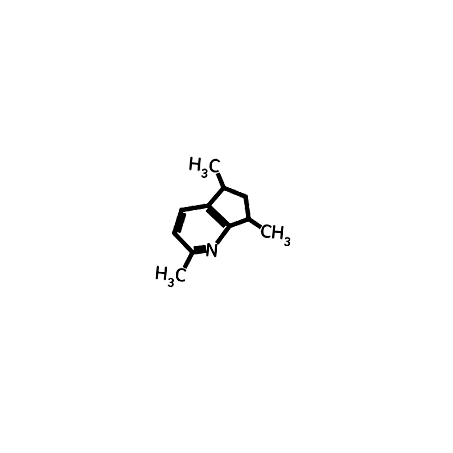 Cc1ccc2c(n1)C(C)CC2C